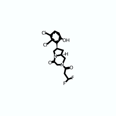 O=C(CC(F)F)N1CC(=O)N2C[C@@H](c3c(O)ccc(Cl)c3Cl)C[C@H]2C1